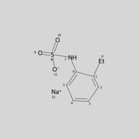 CCc1ccccc1NS(=O)(=O)[O-].[Na+]